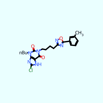 CCCCn1c(=O)n(CCCCc2noc(-c3cccc(C)c3)n2)c(=O)c2[nH]c(Cl)nc21